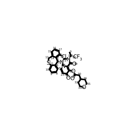 C[C@@H](N1CN([C@@H]2c3ccccc3SCc3cccc(Cl)c32)n2ccc(=O)c(OC(=O)CC3CCOCC3)c2C1=O)C(F)(F)F